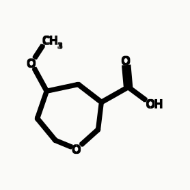 COC1CCOCC(C(=O)O)C1